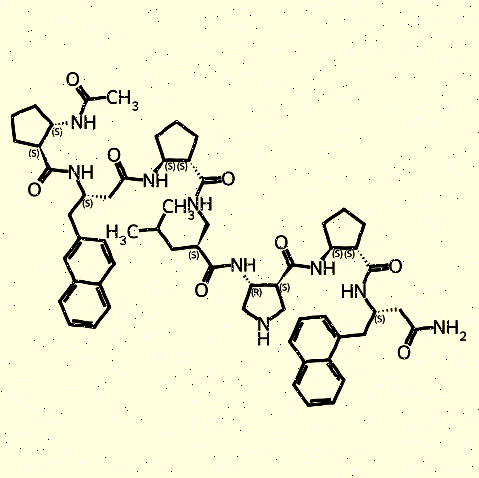 CC(=O)N[C@H]1CCC[C@@H]1C(=O)N[C@H](CC(=O)N[C@H]1CCC[C@@H]1C(=O)NC[C@H](CC(C)C)C(=O)N[C@H]1CNC[C@@H]1C(=O)N[C@H]1CCC[C@@H]1C(=O)N[C@H](CC(N)=O)Cc1cccc2ccccc12)Cc1ccc2ccccc2c1